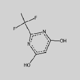 CC(F)(F)c1nc(O)cc(O)n1